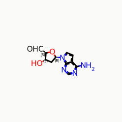 Nc1ncnc2c1ccn2[C@H]1C[C@H](O)[C@@H](C=O)O1